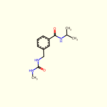 CNC(=O)NCc1cccc(C(=O)NC(C)C)c1